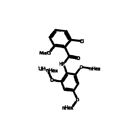 CCCCCCOc1cc(OCCCCCC)c(PC(=O)c2c(Cl)cccc2OC)c(OCCCCCC)c1.[LiH]